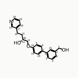 OCc1cccc(-c2ccc(OC[C@H](O)CCc3cccnc3)cc2)c1